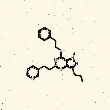 CCCc1nn(C)c2c(NCCc3ccccc3)nc(CCc3cccnc3)nc12